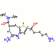 CCCN(CCC)C(=O)C1=Cc2sc(C(=O)CCCCN)cc2N=C(N)C1